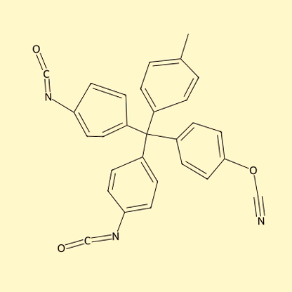 Cc1ccc(C(c2ccc(N=C=O)cc2)(c2ccc(N=C=O)cc2)c2ccc(OC#N)cc2)cc1